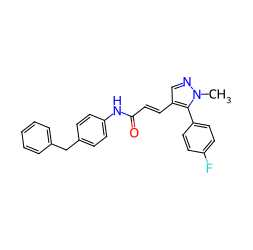 Cn1ncc(C=CC(=O)Nc2ccc(Cc3ccccc3)cc2)c1-c1ccc(F)cc1